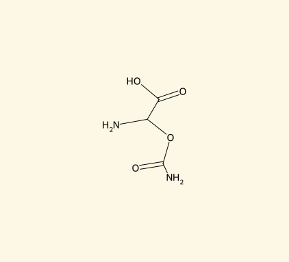 NC(=O)OC(N)C(=O)O